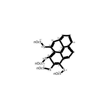 CCCCCCCCSc1c(SCCCCCCCC)c2ccc3cccc4cc(SCCCCCCCC)c(c1SCCCCCCCC)c2c34